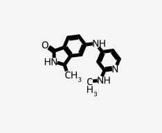 CNc1cc(Nc2ccc3c(c2)C(C)NC3=O)ccn1